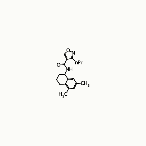 CCCc1nocc1C(=O)NC1CCCc2c(C)cc(C)cc21